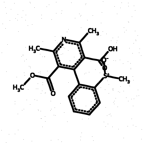 COC(=O)c1c(C)nc(C)c(C(=O)O)c1-c1ccccc1[S+](C)[O-]